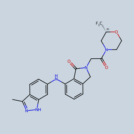 Cc1n[nH]c2cc(Nc3cccc4c3C(=O)N(CC(=O)N3CCO[C@@H](C(F)(F)F)C3)C4)ccc12